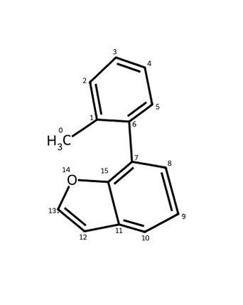 Cc1ccccc1-c1cccc2c[c]oc12